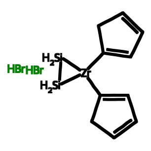 Br.Br.C1=CC[C]([Zr]2([C]3=CC=CC3)[SiH2][SiH2]2)=C1